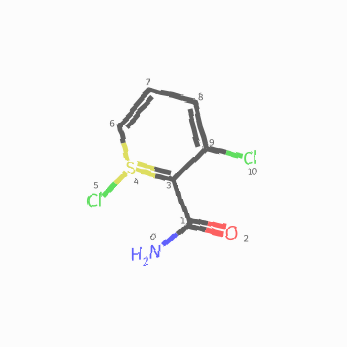 NC(=O)C1=S(Cl)C=CC=C1Cl